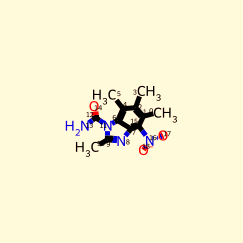 Cc1c(C)c(C)c2c(nc(C)n2C(N)=O)c1[N+](=O)[O-]